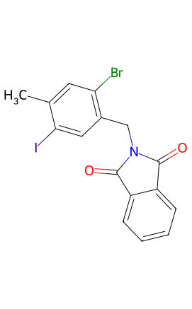 Cc1cc(Br)c(CN2C(=O)c3ccccc3C2=O)cc1I